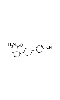 N#Cc1ccc(C2CCC(N3CC[CH]C3C(N)=O)CC2)cc1